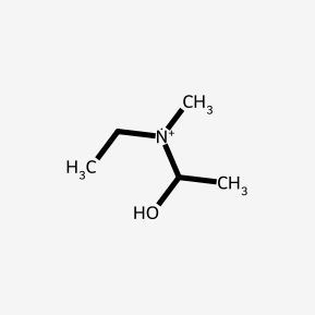 CC[N+](C)C(C)O